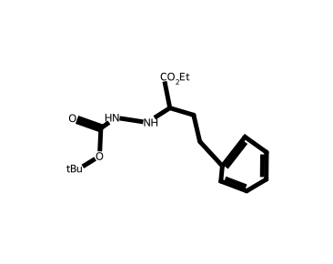 CCOC(=O)C(CCc1ccccc1)NNC(=O)OC(C)(C)C